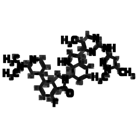 Cc1cnc(Nc2cc(C)n(C)n2)nc1-c1c[nH]c2c(N3Cc4c(-c5ccnc(N(C)C)c5)ccc(F)c4C3=O)cccc12